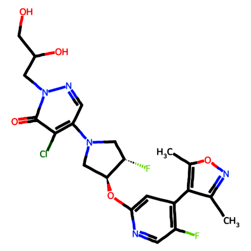 Cc1noc(C)c1-c1cc(O[C@H]2CN(c3cnn(CC(O)CO)c(=O)c3Cl)C[C@@H]2F)ncc1F